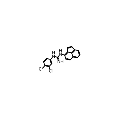 N=C(Nc1ccc(Cl)c(Cl)c1)Nc1ccc2cccc3c2c1C=C3